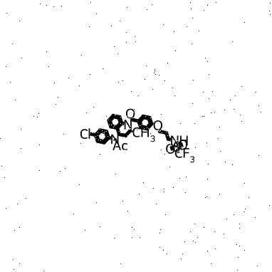 CC(=O)N(c1ccc(Cl)cc1)[C@@H]1C[C@H](C)N(C(=O)c2ccc(OCCCNS(=O)(=O)C(F)(F)F)cc2)c2ccccc21